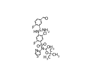 CC(C)(C)OC(=O)N(c1cscn1)S(=O)(=O)c1cc(Cl)c(N[C@@H](N)c2cc(C=O)ccc2F)cc1F